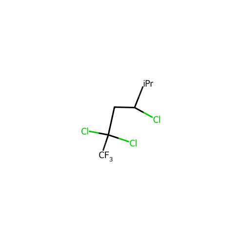 CC(C)C(Cl)CC(Cl)(Cl)C(F)(F)F